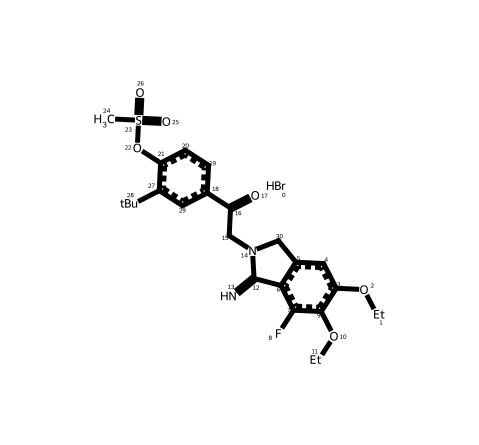 Br.CCOc1cc2c(c(F)c1OCC)C(=N)N(CC(=O)c1ccc(OS(C)(=O)=O)c(C(C)(C)C)c1)C2